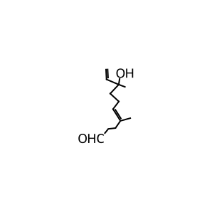 C=CC(C)(O)CCC=C(C)CCC=O